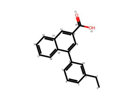 CCc1cccc(-c2cc(C(=O)O)cc3ccccc23)c1